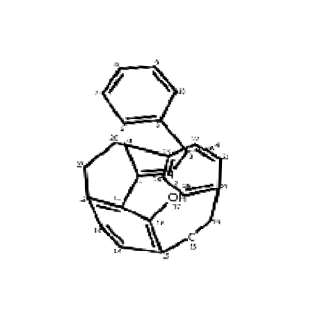 C/C(=N\[C@@H](C)c1ccccc1)c1c2ccc(c1O)CCc1ccc(cc1)CC2